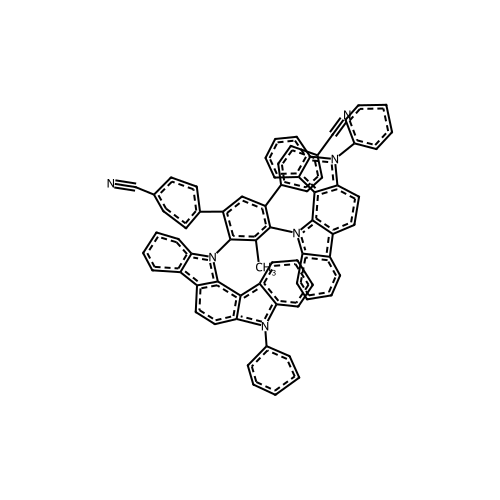 Cc1c(-n2c3ccccc3c3ccc4c(c5ccccc5n4-c4ccccc4)c32)c(-c2ccc(C#N)cc2)cc(-c2ccc(C#N)cc2)c1-n1c2ccccc2c2ccc3c(c4ccccc4n3-c3ccccc3)c21